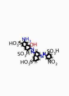 Nc1cc2c(O)c(N=Nc3ccc(N=Nc4cc([N+](=O)[O-])ccc4S(=O)(=O)O)c4ccc(S(=O)(=O)O)cc34)c(S(=O)(=O)O)cc2cc1S(=O)(=O)O